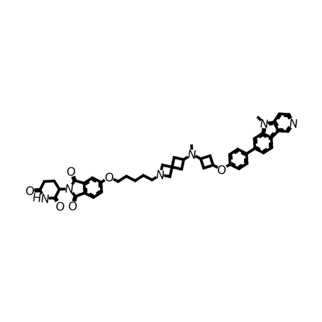 CN(C1CC(Oc2ccc(-c3ccc4c5cnccc5n(C)c4c3)cc2)C1)C1CC2(C1)CN(CCCCCOc1ccc3c(c1)C(=O)N(C1CCC(=O)NC1=O)C3=O)C2